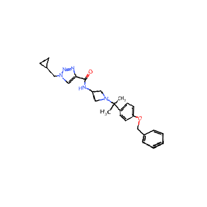 CC(C)(c1ccc(OCc2ccccc2)cc1)N1CC(NC(=O)c2cn(CC3CC3)nn2)C1